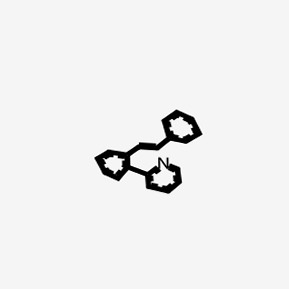 C(=Cc1ccccc1-c1ccccn1)c1ccccc1